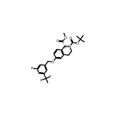 COC(=O)[C@H]1c2ccc(OCc3cc(F)cc(C(C)(F)F)c3)cc2CCN1C(=O)OC(C)(C)C